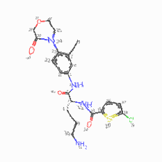 Cc1cc(NC(=O)[C@@H](CCCN)NC(=O)c2ccc(Cl)s2)ccc1N1CCOCC1=O